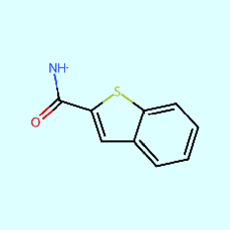 [NH]C(=O)c1cc2ccccc2s1